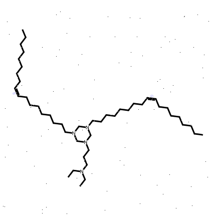 CCCCCCCC/C=C\CCCCCCCCN1CN(CCCCCCCC/C=C\CCCCCCCC)CN(CCCN(CC)CC)C1